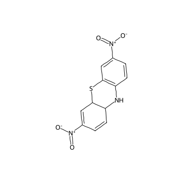 O=[N+]([O-])C1=CC2Sc3cc([N+](=O)[O-])ccc3NC2C=C1